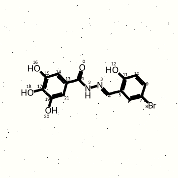 O=C(NN=Cc1cc(Br)ccc1O)c1cc(O)c(O)c(O)c1